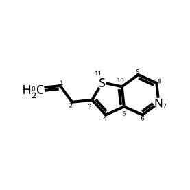 C=CCc1cc2cnccc2s1